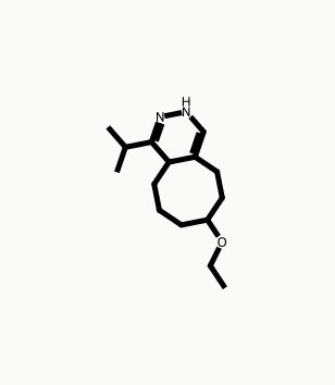 CCOC1CCCC2C(=CNN=C2C(C)C)CC1